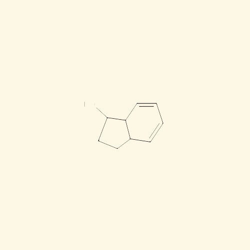 OC1CCC2C=[C]C=CC12